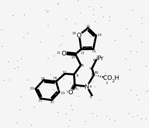 CC(C)C[C@H](C(=O)O)N(C)C(=O)C(CC(=O)c1ccco1)Cc1ccccc1